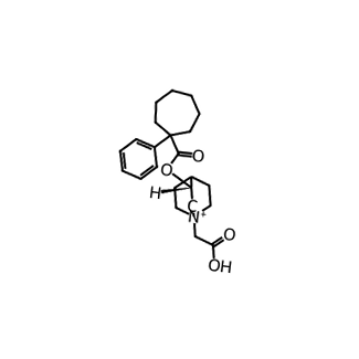 O=C(O)C[N+]12CCC(CC1)[C@@H](OC(=O)C1(c3ccccc3)CCCCCC1)C2